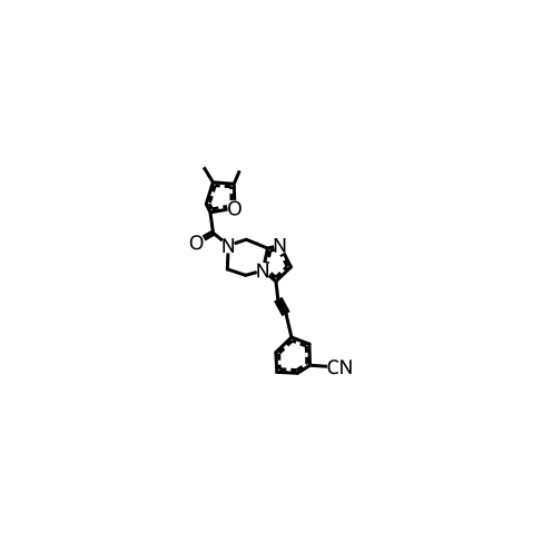 Cc1cc(C(=O)N2CCn3c(C#Cc4cccc(C#N)c4)cnc3C2)oc1C